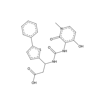 Cn1ccc(O)c(NC(=O)NC(CC(=O)O)c2ccc(-c3ccccc3)s2)c1=O